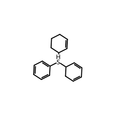 C1=CCC([SH](c2ccccc2)C2C=CCCC2)C=C1